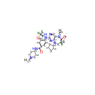 CN1CCC(NC(=O)c2ccc(Nc3ncc4c(n3)N(C3CCCC3)CC(F)(F)C(=O)N4C)c(OC(F)(F)F)c2)CC1